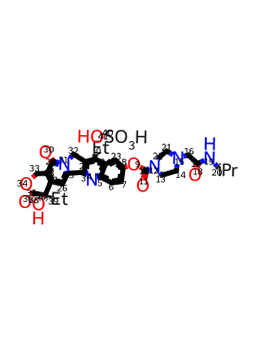 CCc1c2c(nc3ccc(OC(=O)N4CCN(CC(=O)NC(C)C)CC4)cc13)-c1cc3c(c(=O)n1C2)COC(=O)[C@]3(O)CC.O=S(=O)(O)O